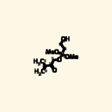 C=C(C)C(=O)CO[Si](CCO)(OC)OC